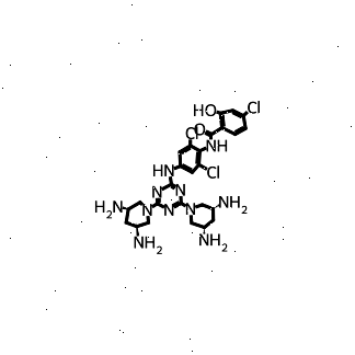 N[C@@H]1C[C@H](N)CN(c2nc(Nc3cc(Cl)c(NC(=O)c4ccc(Cl)cc4O)c(Cl)c3)nc(N3C[C@H](N)C[C@H](N)C3)n2)C1